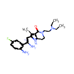 CCN(CC)CCN1CCc2[nH]c(/C=C(\N)c3cc(F)ccc3N)c(C)c2C1=O